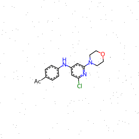 CC(=O)c1ccc(Nc2cc(Cl)nc(N3CCOCC3)c2)cc1